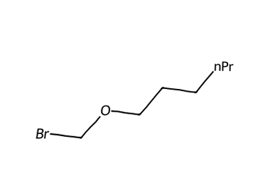 CCCCCCOCBr